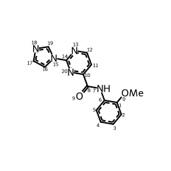 COc1ccccc1NC(=O)c1ccnc(-n2ccnc2)n1